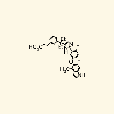 CCC(CC)(c1cccc(CCC(=O)O)c1)c1cnc(-c2cc(Oc3c(F)cc4[nH]ccc4c3C)ccc2F)[nH]1